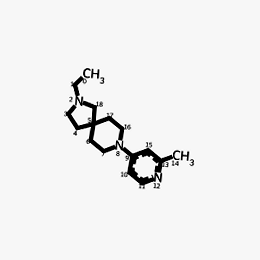 CCN1CCC2(CCN(c3ccnc(C)c3)CC2)C1